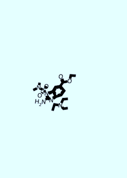 CCN(CC)CC.CCOC(=O)c1ccc2nc(N)n(S(=O)(=O)N(C)C)c2c1